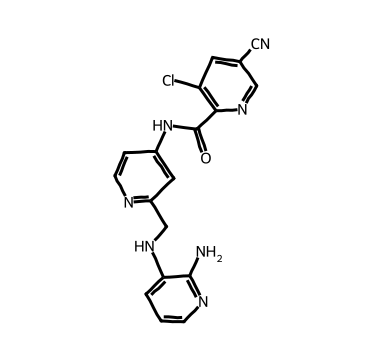 N#Cc1cnc(C(=O)Nc2ccnc(CNc3cccnc3N)c2)c(Cl)c1